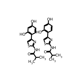 CC(C)C(=O)Nc1nc(-c2ccc(O)cc2O)cs1.CC(C)C(=O)Nc1nc(-c2ccc(O)cc2O)cs1